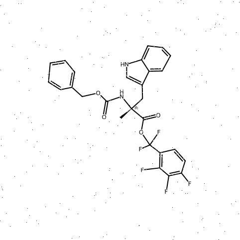 C[C@](Cc1c[nH]c2ccccc12)(NC(=O)OCc1ccccc1)C(=O)OC(F)(F)c1ccc(F)c(F)c1F